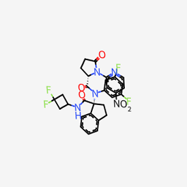 O=C1CC[C@@H](C(=O)N(c2cc(F)cc(F)c2)[C@]2(C(=O)NC3CC(F)(F)C3)CCc3ccccc32)N1c1cc([N+](=O)[O-])ccn1